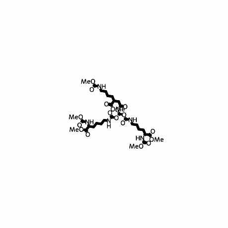 COC(=O)NCCCCC(CC(=O)OC(OC(=O)NCCCCC(NC(=O)OC)C(=O)OC)OC(=O)NCCCCC(NC(=O)OC)C(=O)OC)C(=O)OC